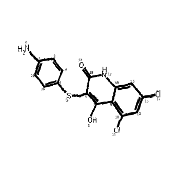 Nc1ccc(Sc2c(O)c3c(Cl)cc(Cl)cc3[nH]c2=O)cc1